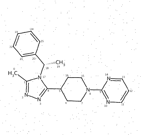 Cc1nnc(C2CCN(c3ncccn3)CC2)n1[C@@H](C)c1ccccc1